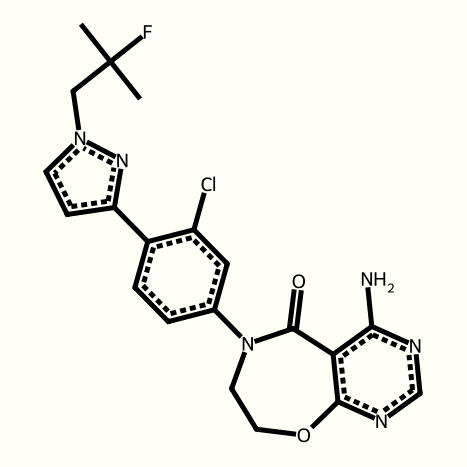 CC(C)(F)Cn1ccc(-c2ccc(N3CCOc4ncnc(N)c4C3=O)cc2Cl)n1